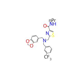 CCCNC(=O)c1csc(CN(Cc2cccc(C(F)(F)F)c2)Cc2ccc3c(c2)OCO3)n1